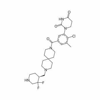 Cc1cc(C(=O)N2CCC3(CCN(C[C@@H]4CCNCC4(F)F)CC3)CC2)cc(N2CCC(=O)NC2=O)c1Cl